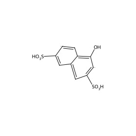 O=S(=O)(O)c1[c]cc2c(O)[c]c(S(=O)(=O)O)cc2c1